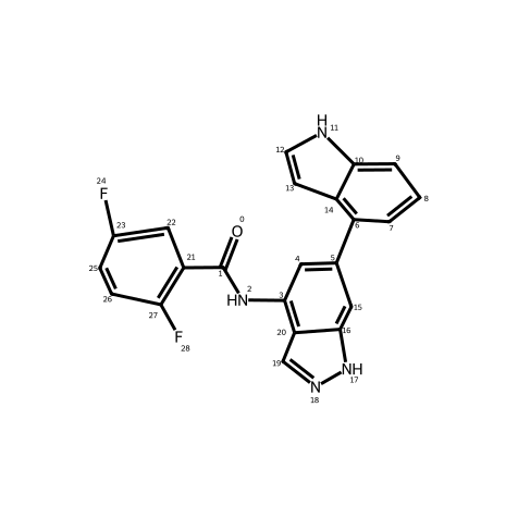 O=C(Nc1cc(-c2cccc3[nH]ccc23)cc2[nH]ncc12)c1cc(F)ccc1F